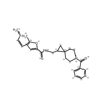 C=N/C=C\c1cc(C(=O)NCC2CC23CCN(C(=O)c2cncnc2)CC3)oc1C